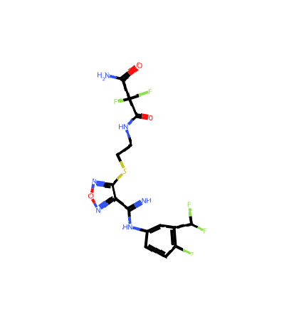 N=C(Nc1ccc(F)c(C(F)F)c1)c1nonc1SCCNC(=O)C(F)(F)C(N)=O